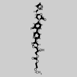 COCCOC(=O)OC[C@@H](O)[C@@H]1CC(c2ccc(-c3ccc(N4C[C@H](Cn5ccnn5)OC4=O)cc3F)cn2)=NO1